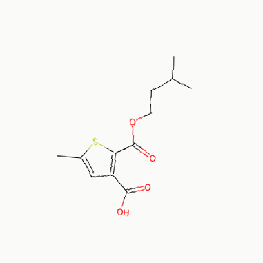 Cc1cc(C(=O)O)c(C(=O)OCCC(C)C)s1